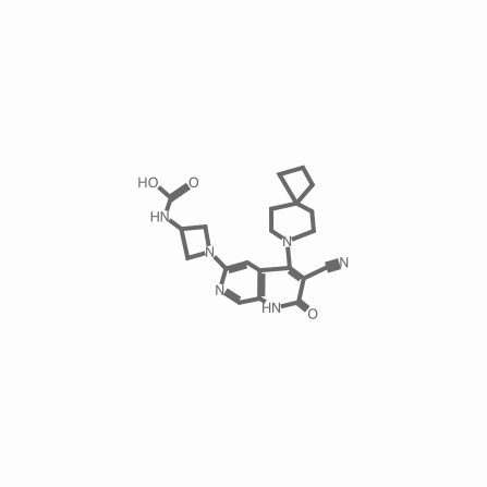 N#Cc1c(N2CCC3(CCC3)CC2)c2cc(N3CC(NC(=O)O)C3)ncc2[nH]c1=O